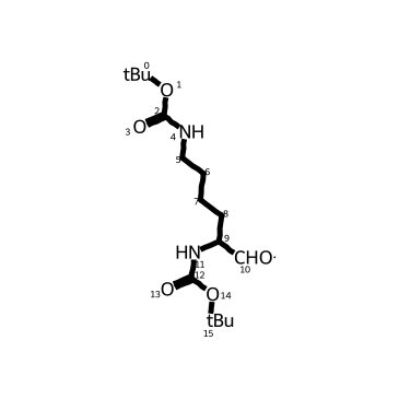 CC(C)(C)OC(=O)NCCCCC([C]=O)NC(=O)OC(C)(C)C